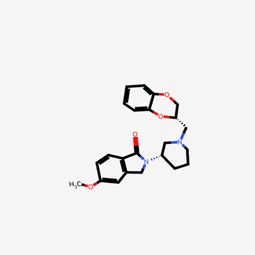 COc1ccc2c(c1)CN([C@H]1CCCN(C[C@H]3COc4ccccc4O3)C1)C2=O